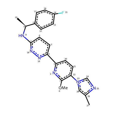 COc1nc(-c2ccc(N[C@@H](C)c3ccc(F)cc3)nn2)ccc1-n1cnc(C)c1